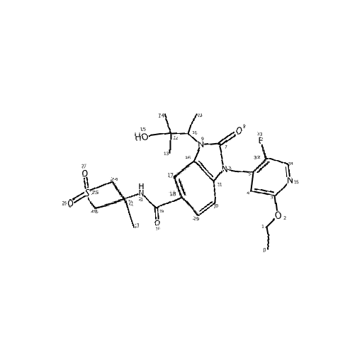 CCOc1cc(-n2c(=O)n(C(C)C(C)(C)O)c3cc(C(=O)NC4(C)CS(=O)(=O)C4)ccc32)c(F)cn1